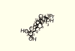 C=C1C(=CC=C2CCC[C@]3(C)C([C@H](C)OC[C@@H](O)C(C)C)=CC[C@@H]23)C[C@@H](O)C[C@@H]1O